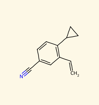 C=Cc1cc(C#N)ccc1C1CC1